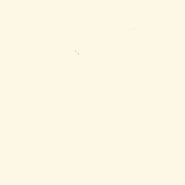 CCCCCCCCNc1ccc(C=O)cc1